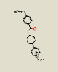 CCCCCc1ccc(C(=O)O[C@H]2CC[C@H](C3CC[SiH](CCC)CC3)CC2)cc1